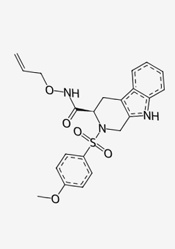 C=CCONC(=O)[C@H]1Cc2c([nH]c3ccccc23)CN1S(=O)(=O)c1ccc(OC)cc1